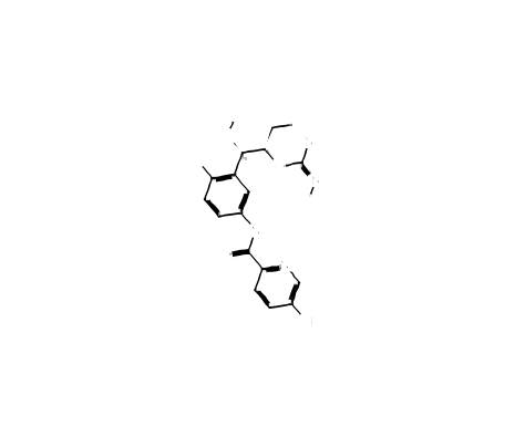 C/N=C(/N)O[C@H](CF)[C@H](OC)c1cc(NC(=O)c2ccc(Cl)cn2)ccc1F